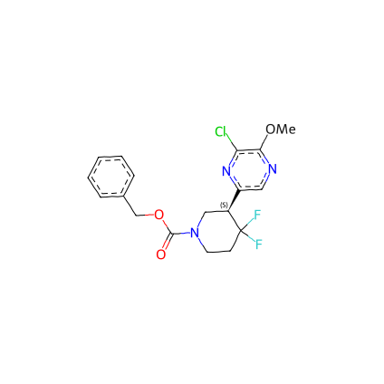 COc1ncc([C@@H]2CN(C(=O)OCc3ccccc3)CCC2(F)F)nc1Cl